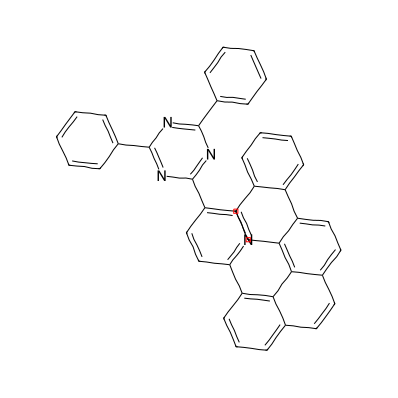 c1ccc(-c2nc(-c3ccccc3)nc(-c3ccc(-c4cccc5ccc6ccc7c8ccccc8ccc7c6c45)nc3)n2)cc1